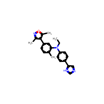 CCN(c1ccc(-c2cnc[nH]2)cc1)c1cc(-c2c(C)noc2C)ccc1C